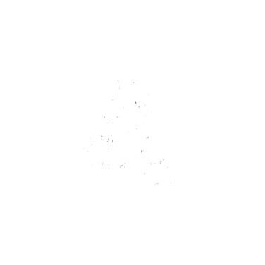 O=C(O)/C=C\C(=O)O.c1ccc(CCCCN2CCCCC2c2ccccc2)cc1